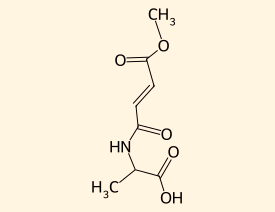 COC(=O)/C=C/C(=O)NC(C)C(=O)O